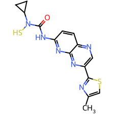 Cc1csc(-c2cnc3ccc(NC(=O)N(S)C4CC4)nc3n2)n1